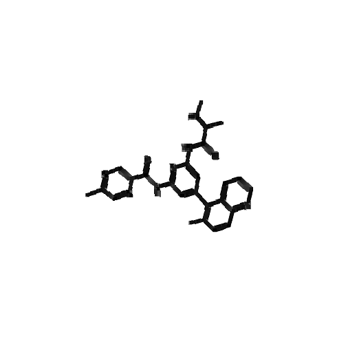 CNC(C)C(=O)Nc1cc(-c2c(C)ccc3ncccc23)cc(NC(=O)c2cnc(C)cn2)n1